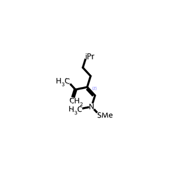 C=C(C)/C(=C\N(C)SC)CCC(C)C